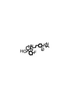 COc1cc(/C=C/c2nc3n(n2)CCCC3(CO)c2cccc(F)c2)ccc1-n1cnc(C)c1